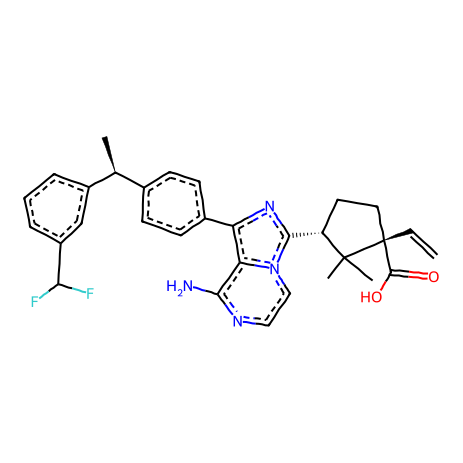 C=C[C@]1(C(=O)O)CC[C@@H](c2nc(-c3ccc([C@H](C)c4cccc(C(F)F)c4)cc3)c3c(N)nccn23)C1(C)C